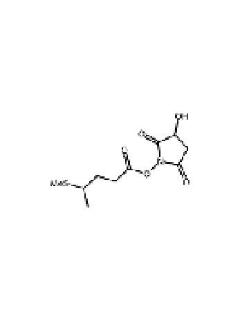 CSC(C)CCC(=O)ON1C(=O)CC(O)C1=O